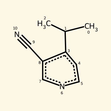 CC(C)c1ccncc1C#N